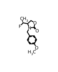 COc1ccc(CN2C(=O)OCC2[C@H](C)F)cc1